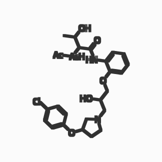 CC(=O)[AsH]C(C(=O)Nc1ccccc1OCC(O)CN1CCC(Oc2ccc(Cl)cc2)C1)C(C)O